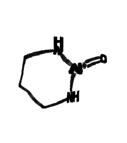 O=[N+]1NCCCN1